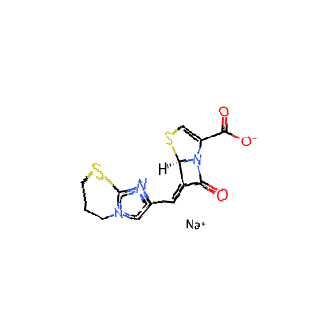 O=C([O-])C1=CS[C@@H]2/C(=C\c3cn4c(n3)SCCC4)C(=O)N12.[Na+]